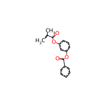 C=C(C)C(=O)Oc1cccc(OC(=O)c2ccccc2)c1